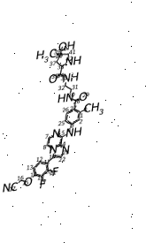 Cc1cc(Nc2nccn3c(-c4ccc(OCC#N)c(F)c4F)cnc23)ccc1C(=O)NCCNC(=O)C1C[C@](C)(O)CN1